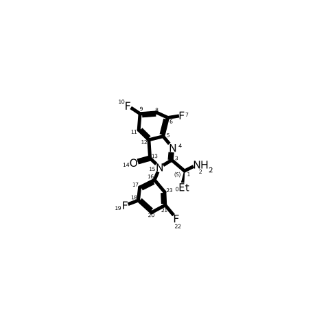 CC[C@H](N)c1nc2c(F)cc(F)cc2c(=O)n1-c1cc(F)cc(F)c1